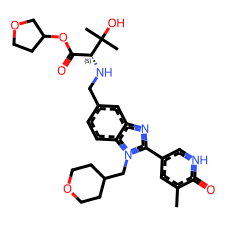 Cc1cc(-c2nc3cc(CN[C@H](C(=O)OC4CCOC4)C(C)(C)O)ccc3n2CC2CCOCC2)c[nH]c1=O